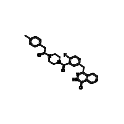 Cc1ccc(CC(=O)N2CCN(C(=O)c3cc(Cc4n[nH]c(=O)c5ccccc45)ccc3F)CC2)cc1